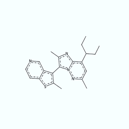 CCC(CC)c1cc(C)nn2c(-c3c(C)sc4ccncc34)c(C)nc12